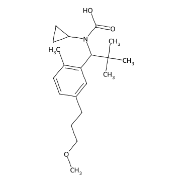 COCCCc1ccc(C)c(C(N(C(=O)O)C2CC2)C(C)(C)C)c1